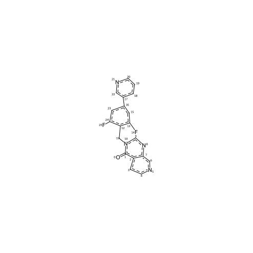 O=c1c2ccncc2ncn1Cc1c(F)cc(-c2cccnc2)cc1F